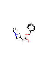 C[C@H](C(=O)OCc1ccccc1)C1CN(CC(F)(F)F)C1